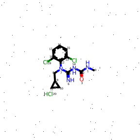 CNC(=O)NC(=N)N(CC1CC1)c1c(Cl)cccc1Cl.Cl